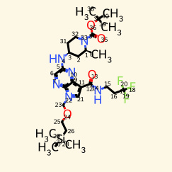 C[C@H]1C[C@@H](Nc2cnc3c(n2)c(C(=O)NCCC(F)(F)F)cn3COCC[Si](C)(C)C)CCN1C(=O)OC(C)(C)C